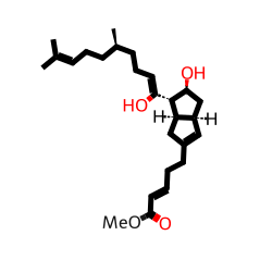 COC(=O)C=CCCC1=C[C@@H]2C[C@H](O)[C@@H](C(O)=CCC[C@H](C)CCC=C(C)C)[C@@H]2C1